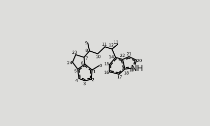 Cc1cccc2c1C(C(C)CCC(C)c1cccc3[nH]ccc13)CC2